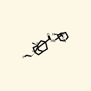 C[C@]12CC3CC(C(=O)N[C@H]4CN5CCC4CC5)(C1)C[C@@](CCF)(C3)C2